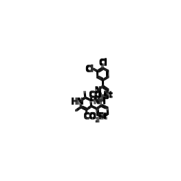 CCOC(=O)C1=C(C)NC(C)C(Nc2nc(-c3ccc(Cl)c(Cl)c3)cs2)(C(=O)OCC)C1c1ccccc1